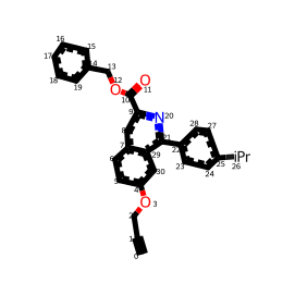 C#CCOc1ccc2cc(C(=O)OCc3ccccc3)nc(-c3ccc(C(C)C)cc3)c2c1